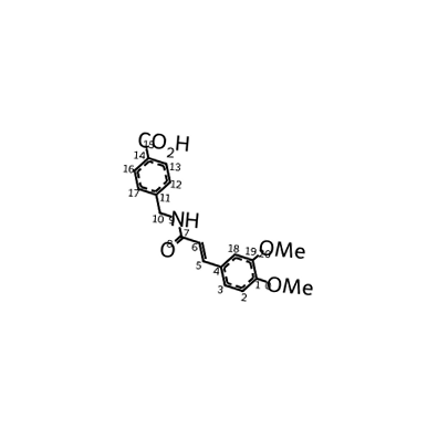 COc1ccc(C=CC(=O)NCc2ccc(C(=O)O)cc2)cc1OC